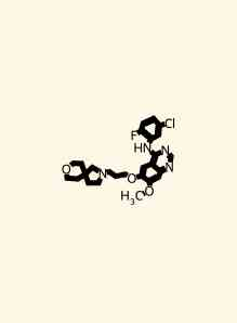 COc1cc2ncnc(Nc3cc(Cl)ccc3F)c2cc1OCCCN1CCC2(CCOCC2)C1